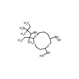 BB(C(B)(C)CC)C(C)(CC)C1CCCCC(BS)CCC(BS)CCC1